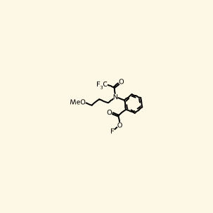 COCCCN(C(=O)C(F)(F)F)c1ccccc1C(=O)OF